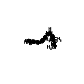 Cc1cc(-c2n[nH]c3ncc(-c4ccc(N5CCN(CC6CCN(c7ccc(N8CCC(=O)NC8=O)cc7)CC6)CC5)cc4)cc23)ccc1C(C)NC(=O)c1nc(C2(C)CC2)no1